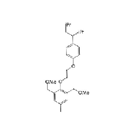 COCc1cc(C)cc(COC)c1OCCOc1ccc(C(CC(C)C)C(C)C)cc1